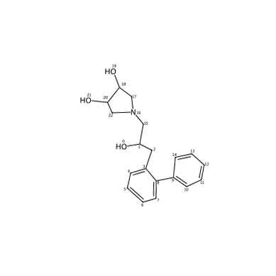 OC(Cc1ccccc1-c1ccccc1)CN1CC(O)C(O)C1